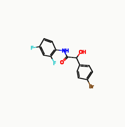 O=C(Nc1ccc(F)cc1F)C(O)c1ccc(Br)cc1